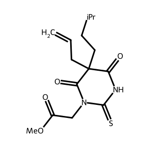 C=CCC1(CCC(C)C)C(=O)NC(=S)N(CC(=O)OC)C1=O